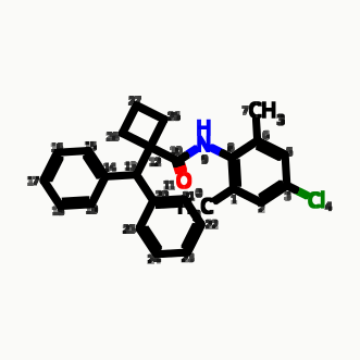 Cc1cc(Cl)cc(C)c1NC(=O)C1(C(c2ccccc2)c2ccccc2)CCC1